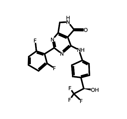 O=C1NCc2nc(-c3c(F)cccc3F)nc(Nc3ccc([C@@H](O)C(F)(F)F)cc3)c21